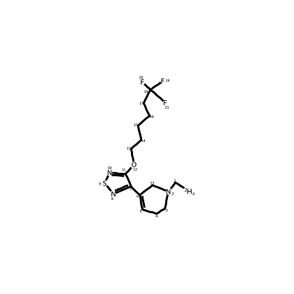 [2H]CN1CCC=C(c2nsnc2OCCCCCC(F)(F)F)C1